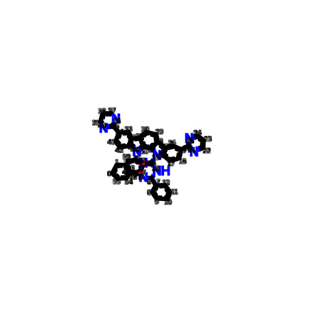 c1ccc(C2=NC(c3ccccc3)NC(n3c4ccc(-c5ncccn5)cc4c4ccc5c6cc(-c7ncccn7)ccc6n(-c6ccccc6)c5c43)=N2)cc1